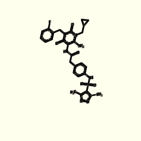 Cc1noc(C)c1S(=O)(=O)Nc1ccc(CC(=O)Nc2c(N)n(CC3CC3)c(=O)n(Cc3ccccc3F)c2=O)cc1